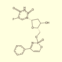 O=c1[nH]c(=O)n([C@@H]2CC(O)[C@H](COP3(=O)N=C(c4ccccc4)C=CO3)O2)cc1F